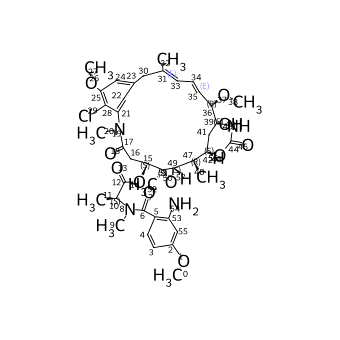 COc1ccc(C(=O)N(C)[C@@H](C)C(=O)O[C@H]2CC(=O)N(C)c3cc(cc(OC)c3Cl)C/C(C)=C/C=C/[C@@H](OC)[C@@]3(O)C[C@H](OC(=O)N3)[C@@H](C)[C@@H]3O[C@@]23C)c(N)c1